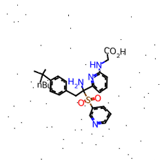 CCCCC(C)(C)c1ccc(CC(N)(c2cccc(NCC(=O)O)n2)S(=O)(=O)c2cccnc2)cc1